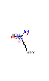 CCCCCCCCCCCCCCCCCCN(C(=O)[C@@H](N)CO)[C@H](CCC(N)=O)C(=O)O